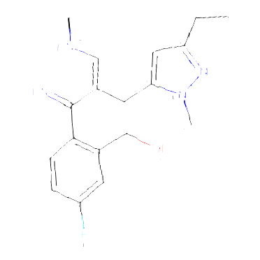 CCc1cc(C/C(=C/NC)C(=N)c2ccc(F)cc2CO)n(C)n1